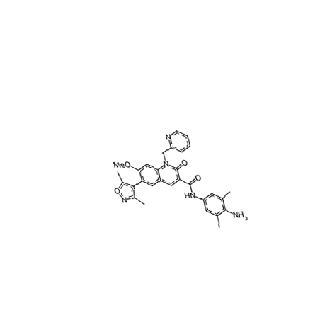 COc1cc2c(cc1-c1c(C)noc1C)cc(C(=O)Nc1cc(C)c(N)c(C)c1)c(=O)n2Cc1ccccn1